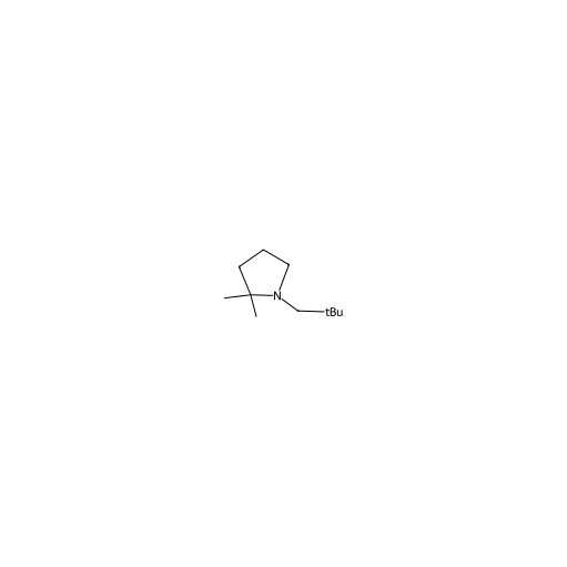 CC(C)(C)CN1CCCC1(C)C